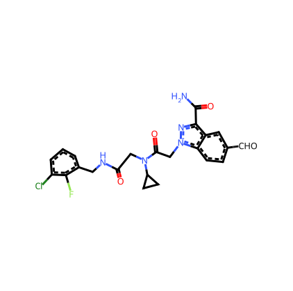 NC(=O)c1nn(CC(=O)N(CC(=O)NCc2cccc(Cl)c2F)C2CC2)c2ccc(C=O)cc12